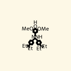 CCN(CC)c1ccc(-c2nc(-c3cc(OC)c(O)c(OC)c3)[nH]c2-c2ccc(N(CC)CC)cc2)cc1